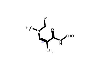 C/C(=C/N(C)CC(C)C)C(=O)NC=O